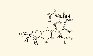 CS(=O)(=O)NC1CCC(N(c2ncccn2)c2cccc3[nH]ncc23)CC1